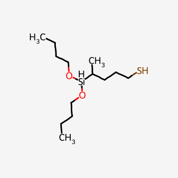 CCCCO[SiH](OCCCC)C(C)CCCS